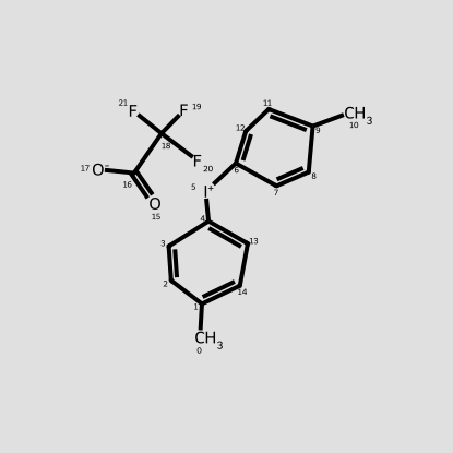 Cc1ccc([I+]c2ccc(C)cc2)cc1.O=C([O-])C(F)(F)F